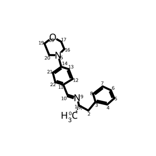 C[C@@H](Cc1ccccc1)N=Cc1ccc(N2CCOCC2)cc1